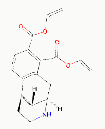 C=COC(=O)c1ccc2c(c1C(=O)OC=C)C[C@H]1NCC[C@@]23CCCC[C@@H]13